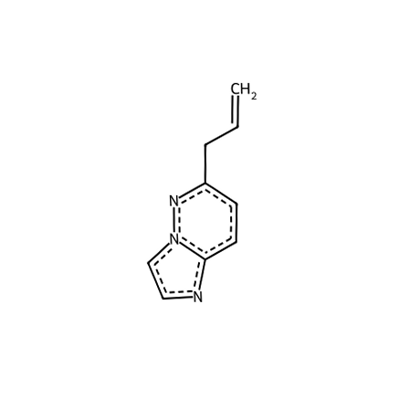 C=CCc1ccc2nccn2n1